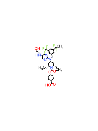 CC[C@@H]1C[C@H](N(Cc2cc(C(C)(F)F)cc(C(F)(F)F)c2)c2ncc(NCCO)cn2)C[C@H](CC)N1C(=O)O[C@H]1CC[C@H](C(=O)O)CC1